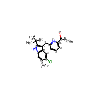 CCC(C)(C)c1[nH]c2cc(OC)c(Cl)cc2c1Cc1cccc(C(=O)OC)n1